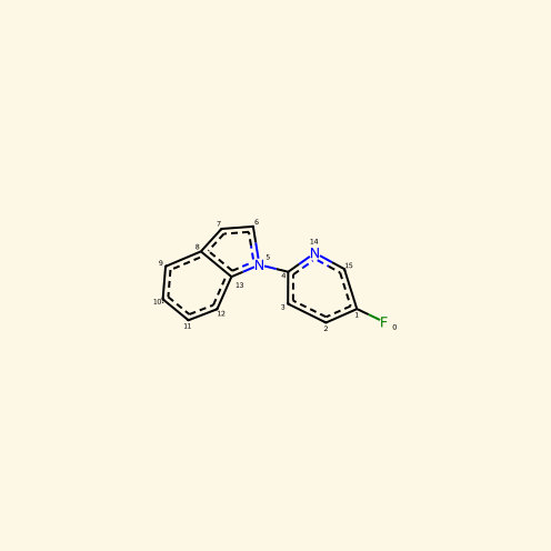 Fc1ccc(-n2ccc3c[c]ccc32)nc1